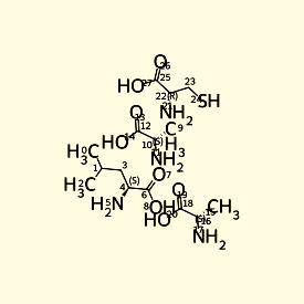 CC(C)C[C@H](N)C(=O)O.C[C@H](N)C(=O)O.C[C@H](N)C(=O)O.N[C@@H](CS)C(=O)O